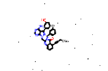 COCC#Cc1cccc2nc(Cn3nc(-c4cccc(O)c4)c4c(N)ncnc43)n(Cc3cccc(C(F)(F)F)c3)c(=O)c12